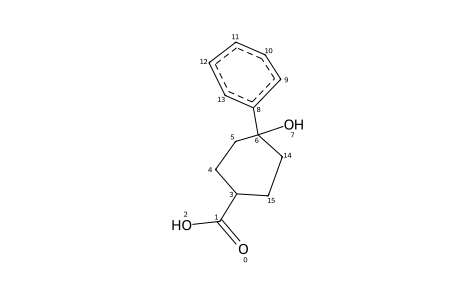 O=C(O)C1CCC(O)(c2ccccc2)CC1